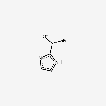 CC(C)[S+]([O-])c1ncc[nH]1